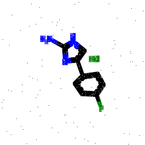 Cl.Nc1nc(-c2ccc(F)cc2)c[nH]1